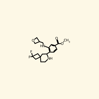 COC(=O)c1ccc(C2CC3(CCN2)CC(F)(F)C3)c(NCC2COC2)c1